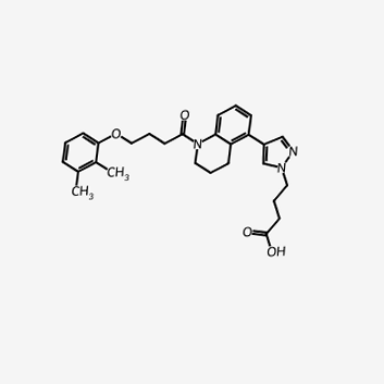 Cc1cccc(OCCCC(=O)N2CCCc3c(-c4cnn(CCCC(=O)O)c4)cccc32)c1C